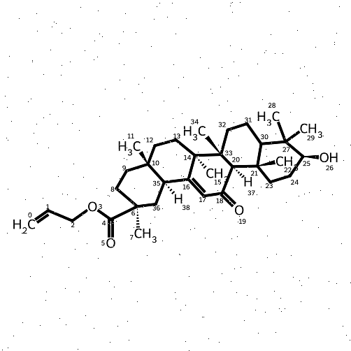 C=CCOC(=O)[C@@]1(C)CC[C@]2(C)CC[C@]3(C)C(=CC(=O)[C@@H]4[C@@]5(C)CC[C@H](O)C(C)(C)C5CC[C@]43C)[C@H]2C1